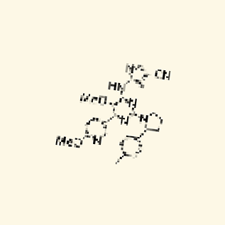 COc1ccc(-c2nc(N3CCC[C@H]3c3ccc(C)cc3)nc(Nc3ncc(C#N)s3)c2OC)cn1